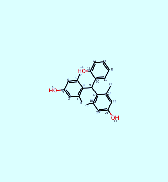 Cc1cc(O)cc(C)c1C(c1ccccc1O)c1c(C)cc(O)cc1C